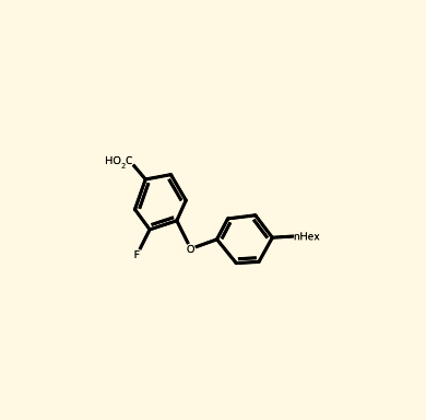 CCCCCCc1ccc(Oc2ccc(C(=O)O)cc2F)cc1